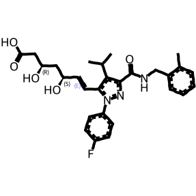 Cc1ccccc1CNC(=O)c1nn(-c2ccc(F)cc2)c(/C=C/[C@@H](O)C[C@@H](O)CC(=O)O)c1C(C)C